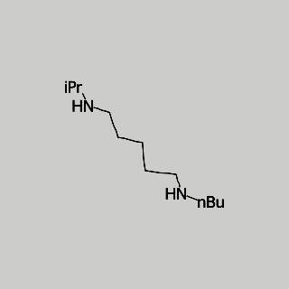 [CH2]CCCNCCCCCNC(C)C